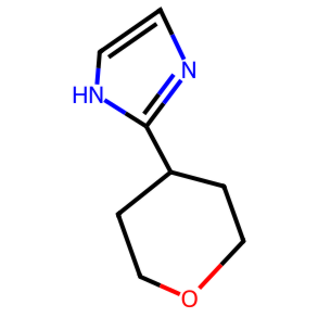 c1c[nH]c(C2CCOCC2)n1